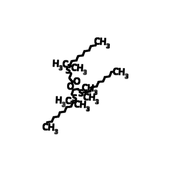 CCCCCCCCCC(C)(C)SCCC(=O)OC(CSC(C)(C)CCCCCCCCC)CSC(C)(C)CCCCCCCCC